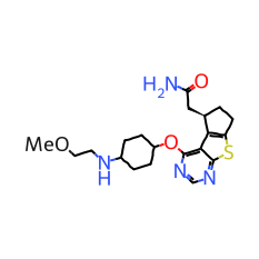 COCCNC1CCC(Oc2ncnc3sc4c(c23)[C@@H](CC(N)=O)CC4)CC1